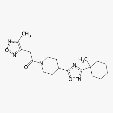 Cc1nonc1CC(=O)N1CCC(c2nc(C3(C)CCCCC3)no2)CC1